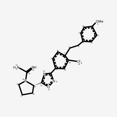 COc1ccc(CCc2ccc(-c3noc([C@@H]4CCCN4C(=N)N)n3)cc2C(F)(F)F)cc1